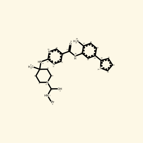 CC(C)NC(O)N1CCC(C)(Nc2ncc(C(=O)Nc3cc(-c4cccs4)ccc3N)cn2)CC1